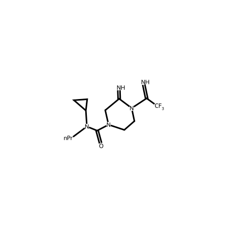 CCCN(C(=O)N1CCN(C(=N)C(F)(F)F)C(=N)C1)C1CC1